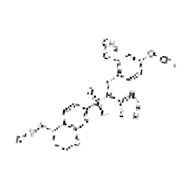 COc1ccc(CN(c2ncns2)S(=O)(=O)c2ccc3c(c2)OCCC3N=[N+]=[N-])c(OC)c1